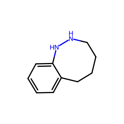 c1ccc2c(c1)CCCCNN2